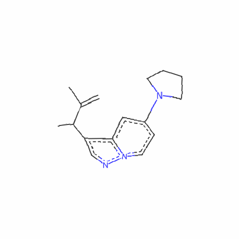 C=C(C)C(C)c1cnn2ccc(N3CCCC3)cc12